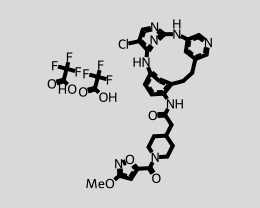 COc1cc(C(=O)N2CCC(CC(=O)Nc3ccc4cc3CCc3cncc(c3)Nc3ncc(Cl)c(n3)N4)CC2)on1.O=C(O)C(F)(F)F.O=C(O)C(F)(F)F